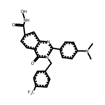 CN(C)c1ccc(-c2nc3cc(C(=O)NO)ccc3c(=O)n2Cc2ccc(C(F)(F)F)cc2)cc1